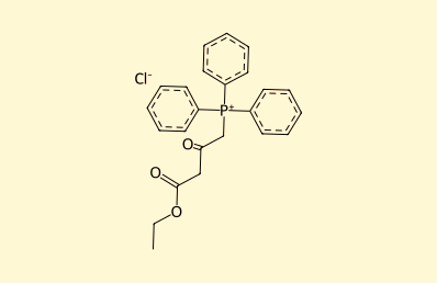 CCOC(=O)CC(=O)C[P+](c1ccccc1)(c1ccccc1)c1ccccc1.[Cl-]